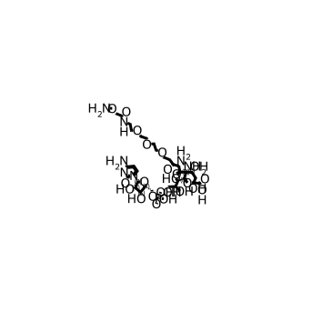 NOCC(=O)NCCOCCOCCOCCC(=O)C(N)C(=O)[C@@]1(N)[C@@H](O)CC(O)(C(=O)O)O[C@H]1C(O)C(O)CO.Nc1ccn([C@@H]2O[C@H](COP(=O)(O)O)[C@@H](O)[C@H]2O)c(=O)n1